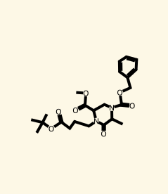 COC(=O)C1CN(C(=O)OCc2ccccc2)C(C)C(=O)N1CCCC(=O)OC(C)(C)C